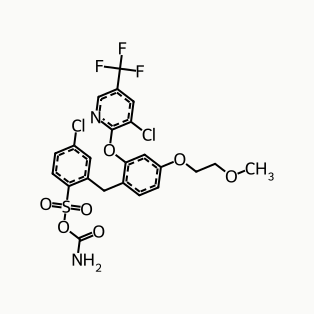 COCCOc1ccc(Cc2cc(Cl)ccc2S(=O)(=O)OC(N)=O)c(Oc2ncc(C(F)(F)F)cc2Cl)c1